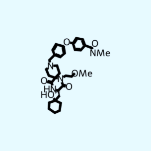 CNC(=O)c1ccc(Oc2ccc(CN3CCC4(CC3)C(=O)N[C@H](CC3(O)CCCCC3)C(=O)N4CCOC)cc2)cc1